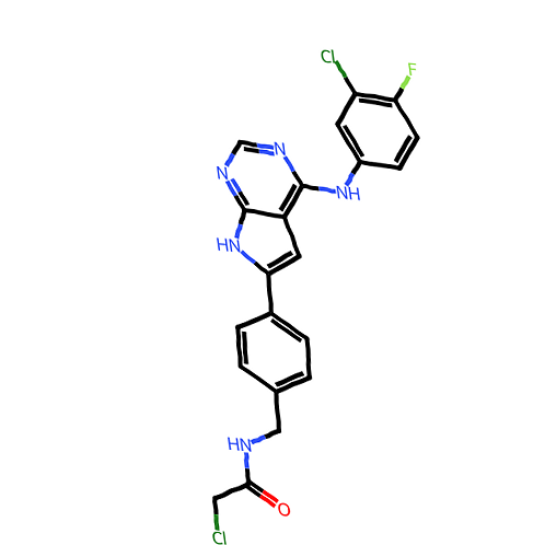 O=C(CCl)NCc1ccc(-c2cc3c(Nc4ccc(F)c(Cl)c4)ncnc3[nH]2)cc1